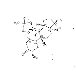 C=C1C[C@@]2(C)[C@H](CC1=O)[C@H]1OC(C)(C)O[C@@H]1[C@@H]1[C@@H]2CC[C@@]2(C)[C@H]1CC[C@]2(C)O